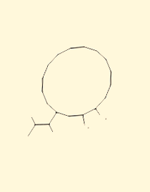 CC(O)C(O)C1CCCCCCCCCCCCC(O)C(O)C1